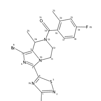 Cc1nsc(-c2nc(Br)c3n2CCN(C(=O)c2ccc(F)cc2C)C3C)n1